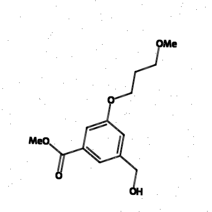 COCCCOc1cc(CO)cc(C(=O)OC)c1